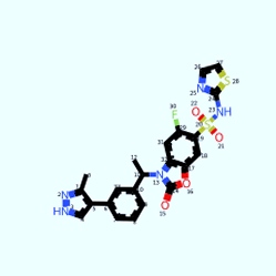 Cc1n[nH]cc1-c1cccc(C(C)n2c(=O)oc3cc(S(=O)(=O)Nc4nccs4)c(F)cc32)c1